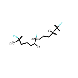 CCCC(C)(F)CCCC(CC)C(C)(F)CCCC(C)(CC)C(C)(C)F